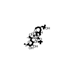 CSC1O[C@H]([C@H](NC(=O)[C@@H]2[C@@H]3OCC[C@@H](CC(C)(C)O)C[C@H]3CN2C(=O)OC(C)(C)C)[C@H](C)Cl)C(O)[C@@H](O)[C@H]1O